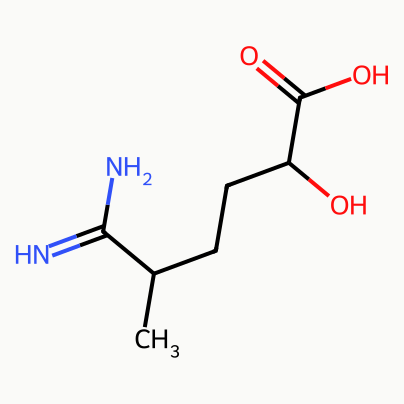 CC(CCC(O)C(=O)O)C(=N)N